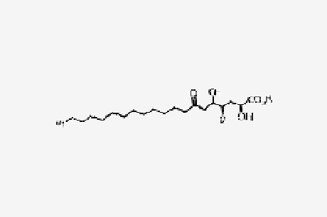 CC(C)CCCCCCCCCCCCC(=O)CC(O)C(=O)CC(O)C(=O)O